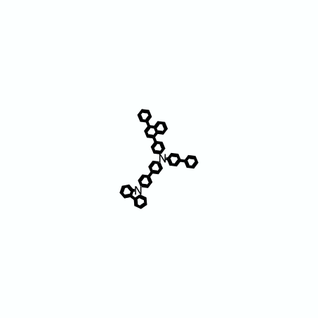 c1ccc(-c2ccc(N(c3ccc(-c4ccc(-n5c6ccccc6c6ccccc65)cc4)cc3)c3ccc(-c4ccc(-c5ccccc5)c5ccccc45)cc3)cc2)cc1